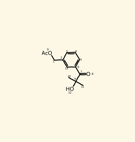 CC(=O)OCc1cccc(C(=O)C(C)(C)O)c1